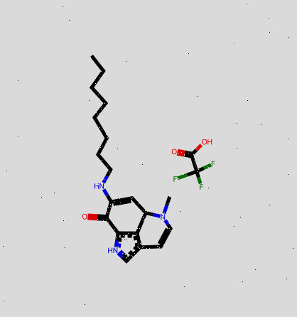 CCCCCCCCNC1=CC2c3c(c[nH]c3C1=O)C=CN2C.O=C(O)C(F)(F)F